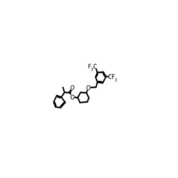 CC(C(=O)OC1CCCC(OCc2cc(C(F)(F)F)cc(C(F)(F)F)c2)C1)c1ccccc1